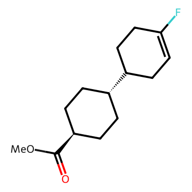 COC(=O)[C@H]1CC[C@H](C2CC=C(F)CC2)CC1